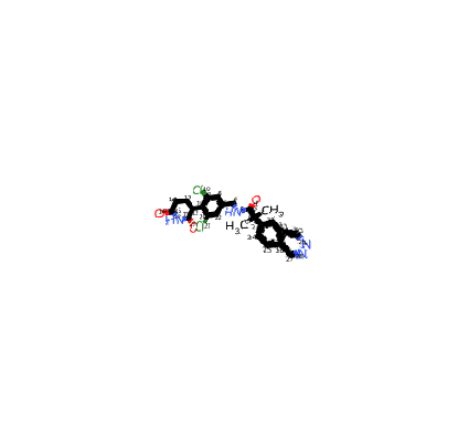 CC(C)(C(=O)NCc1cc(Cl)c(C2CCC(=O)NC2=O)c(Cl)c1)c1ccc2cnncc2c1